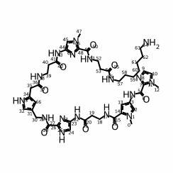 Cn1cc(NC(=O)c2nccn2C)cc1C(=O)NCCC(=O)Nc1c[nH]c(C(=O)NCc2c[nH]c(CC(=O)NCCC(=O)Nc3cn(C)c(C(=O)NCCC(=O)NCCCCCCCN)n3)c2)n1